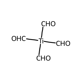 O=[CH][Ti]([CH]=O)([CH]=O)[CH]=O